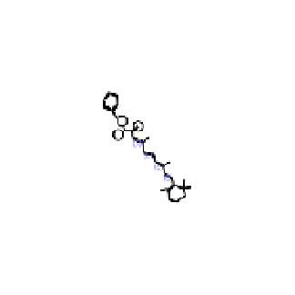 CC1=C(/C=C/C(C)=C/C=C/C(C)=C/C(=O)C(=O)OCc2ccccc2)C(C)(C)CCC1